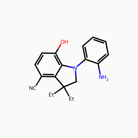 CCC1(CC)CN(c2ccccc2N)c2c(O)ccc(C#N)c21